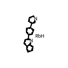 [RbH].c1cncc(-c2ccc(-c3ccc4ccccc4n3)cc2)c1